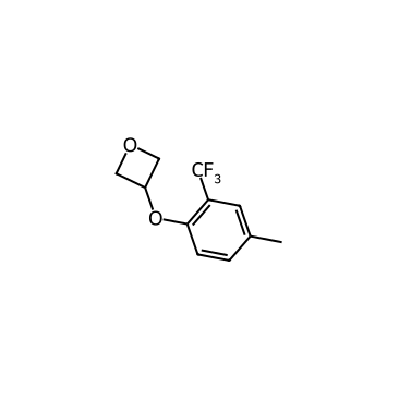 Cc1ccc(OC2COC2)c(C(F)(F)F)c1